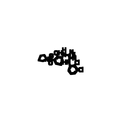 O=S(=O)(c1cccc(Nc2nsnc2Nc2cccc(Cl)c2Cl)c1O)N1CCCC1